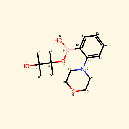 CC(C)(O)C(C)(C)OB(O)c1ccccc1N1CCOCC1